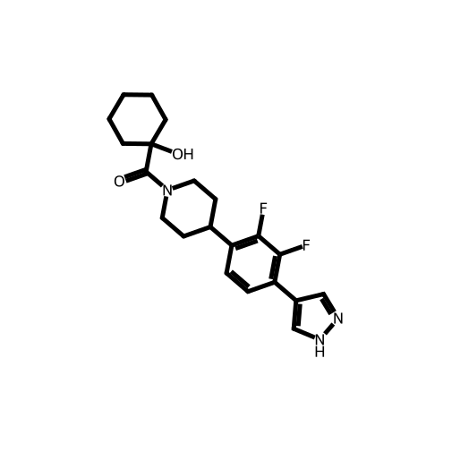 O=C(N1CCC(c2ccc(-c3cn[nH]c3)c(F)c2F)CC1)C1(O)CCCCC1